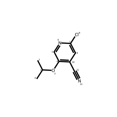 CC(C)Oc1cnc(Cl)cc1C#N